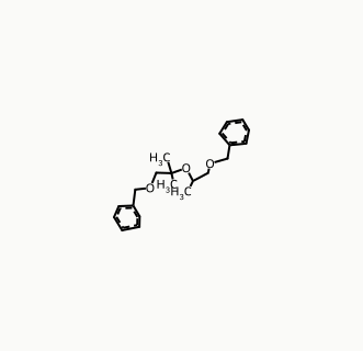 CC(COCc1ccccc1)OC(C)(C)COCc1ccccc1